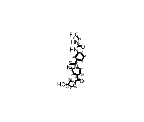 O=C(NCC(F)(F)F)Nc1cccc(-c2cnc3cc(C(=O)N4CCC(O)C4)ccn23)c1